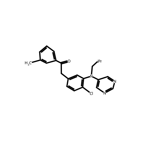 Cc1cccc(C(=O)Cc2ccc(Cl)c(N(CC(C)C)c3cncnc3)c2)c1